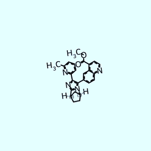 COC(=O)c1ccnc2ccc(-c3c(-c4cccc(C)n4)nc4n3[C@H]3CC[C@@H]4C3)cc12